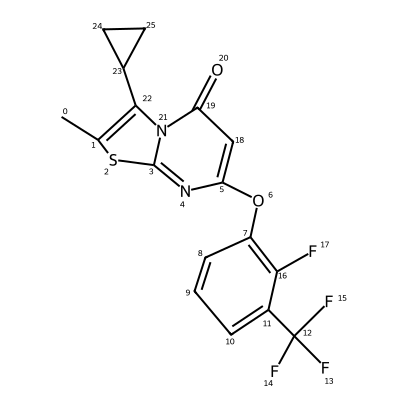 Cc1sc2nc(Oc3cccc(C(F)(F)F)c3F)cc(=O)n2c1C1CC1